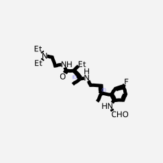 CC/C(C(=O)NCCN(CC)CC)=C(/C)NC/C=C(\C)c1cc(F)ccc1NC=O